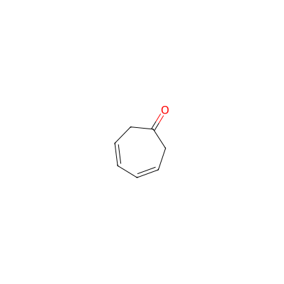 O=C1CC=CC=CC1